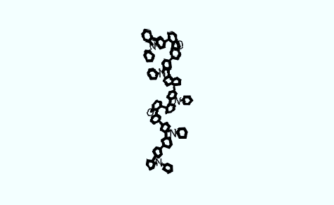 c1ccc(-n2c3ccc(-c4ccc5oc6cccc(-c7cccc8c7c7ccc(-c9cccc%10c9ccc9c%10c%10cc(-c%11ccc%12oc%13cccc(-c%14ccc%15c(c%14)c%14ccccc%14n%15-c%14ccccc%14)c%13c%12c%11)ccc%10n9-c9ccccc9)cc7n8-c7ccccc7)c6c5c4)cc3c3cc(-c4ccc5c6ccccc6n(-c6ccccc6)c5c4)ccc32)cc1